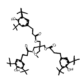 COCC(COC(=O)CCc1cc(C(C)(C)C)c(O)c(C(C)(C)C)c1)(COC(=O)CCc1cc(C(C)(C)C)c(O)c(C(C)(C)C)c1)COC(=O)CCc1cc(C(C)(C)C)c(O)c(C(C)(C)C)c1